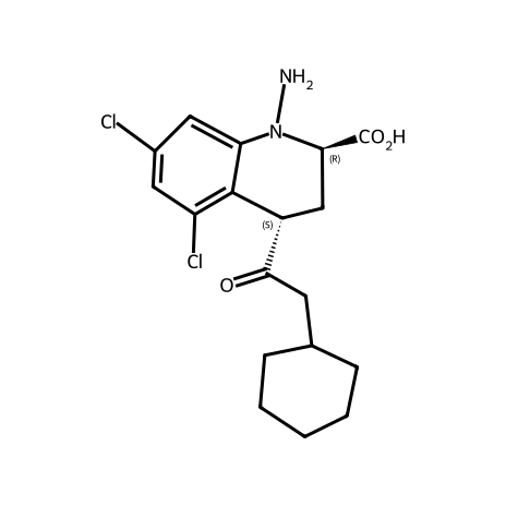 NN1c2cc(Cl)cc(Cl)c2[C@@H](C(=O)CC2CCCCC2)C[C@@H]1C(=O)O